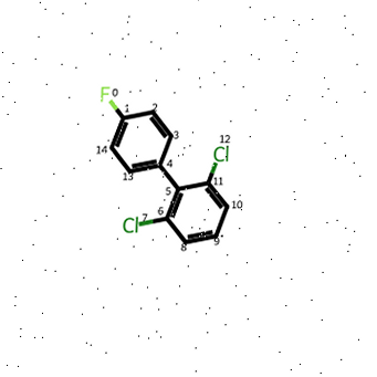 Fc1ccc(-c2c(Cl)c[c]cc2Cl)cc1